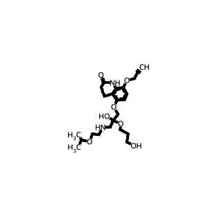 C#CCOc1ccc(OCC(O)(CNCCOC(C)C)OCCCO)c2c1NC(=O)CC2